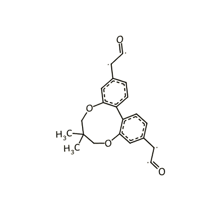 CC1(C)COc2cc([CH][C]=O)ccc2-c2ccc([CH][C]=O)cc2OC1